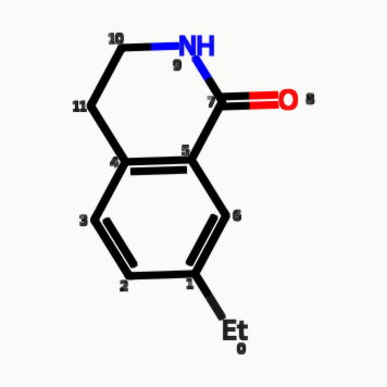 CCc1ccc2c(c1)C(=O)NCC2